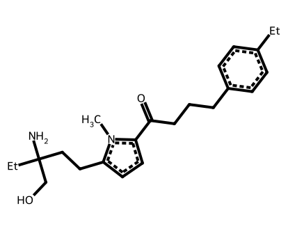 CCc1ccc(CCCC(=O)c2ccc(CCC(N)(CC)CO)n2C)cc1